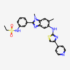 CCS(=O)(=O)Nc1cccc(-c2nc3cc(Nc4nc(-c5ccncc5)cs4)c(C)cc3n2C)c1